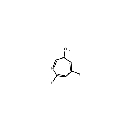 CC1C=NC(F)=CC(F)=C1